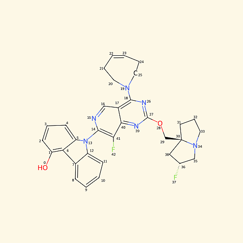 Oc1cccc2c1c1ccccc1n2-c1ncc2c(N3CCC=CCC3)nc(OC[C@@]34CCCN3C[C@H](F)C4)nc2c1F